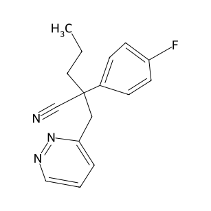 CCCC(C#N)(Cc1cccnn1)c1ccc(F)cc1